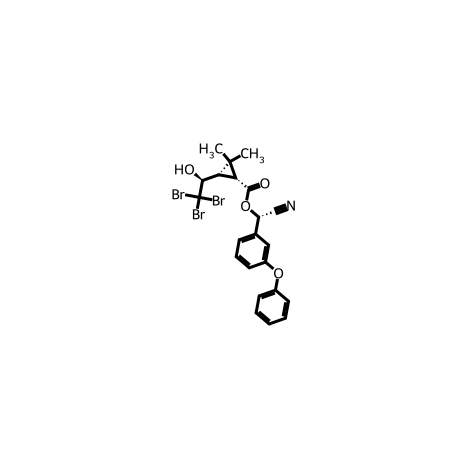 CC1(C)[C@@H]([C@H](O)C(Br)(Br)Br)[C@H]1C(=O)O[C@H](C#N)c1cccc(Oc2ccccc2)c1